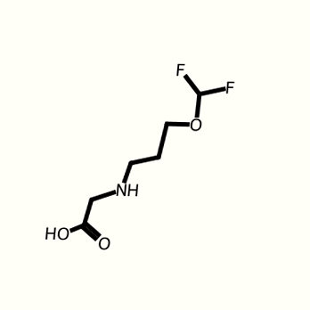 O=C(O)CNCCCOC(F)F